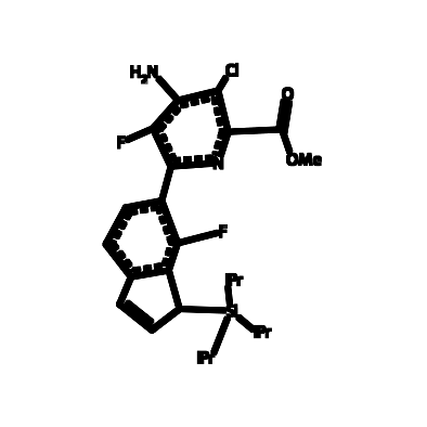 COC(=O)c1nc(-c2ccc3c(c2F)C([Si](C(C)C)(C(C)C)C(C)C)C=C3)c(F)c(N)c1Cl